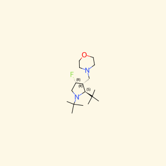 CC(C)(C)[C@@H]1[C@@H](CN2CCOCC2)[C@@H](F)CN1C(C)(C)C